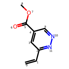 C=Cc1cc(C(=O)OC)cnn1